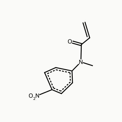 C=CC(=O)N(C)c1ccc([N+](=O)[O-])cc1